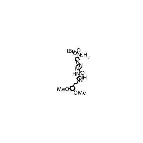 COc1cc(CCc2cc(NC(=O)c3cnc(N4CCC(N(C)C(=O)OC(C)(C)C)C4)cn3)[nH]n2)cc(OC)c1